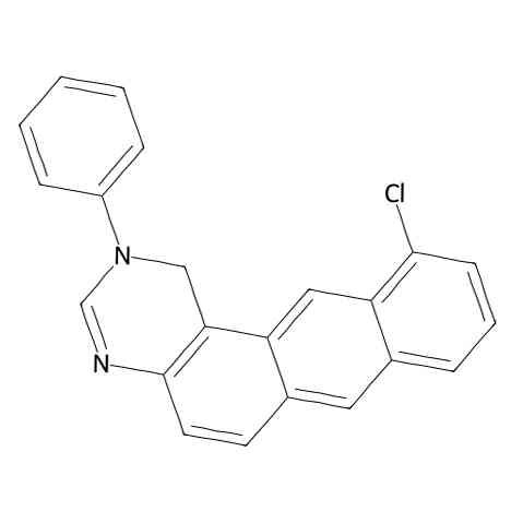 Clc1cccc2cc3ccc4c(c3cc12)CN(c1ccccc1)C=N4